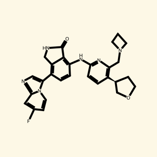 O=C1NCc2c(-c3cnc4cc(F)ccn34)ccc(Nc3ccc([C@H]4CCOC4)c(CN4CCC4)n3)c21